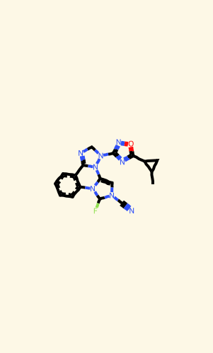 CC1CC1c1nc(N2CN=C3c4ccccc4N4C(=CN(C#N)C4F)N32)no1